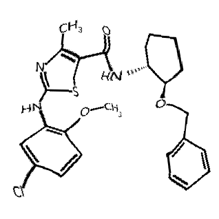 COc1ccc(Cl)cc1Nc1nc(C)c(C(=O)N[C@@H]2CCC[C@H]2OCc2ccccc2)s1